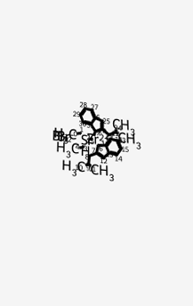 CC[SiH](CC)[Zr+2]([CH]1C(CC(C)C)=Cc2ccccc21)[CH]1C(CC(C)C)=Cc2ccccc21.[Br-].[Br-]